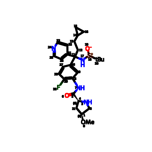 CO[C@H]1CN[C@@H](C(=O)Nc2cc(C(CCC3CC3)(N[S+]([O-])C(C)(C)C)c3ccncc3)ccc2F)C1